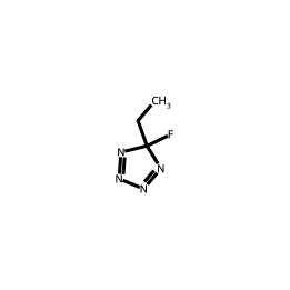 CCC1(F)N=NN=N1